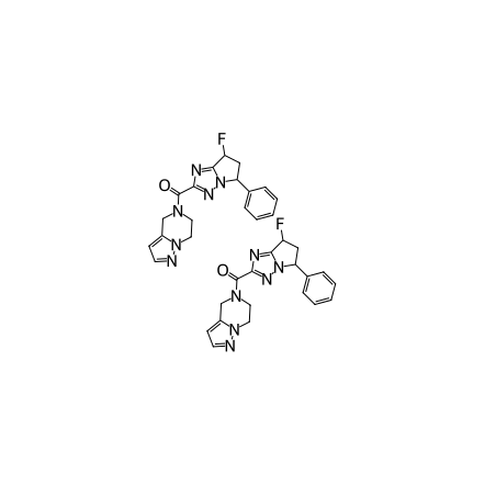 O=C(c1nc2n(n1)C(c1ccccc1)CC2F)N1CCn2nccc2C1.O=C(c1nc2n(n1)C(c1ccccc1)CC2F)N1CCn2nccc2C1